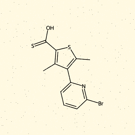 Cc1sc(C(O)=S)c(C)c1-c1cccc(Br)n1